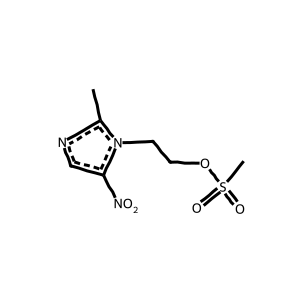 Cc1ncc([N+](=O)[O-])n1CCOS(C)(=O)=O